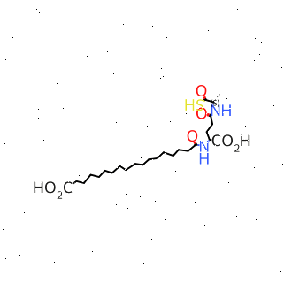 C[C@H](NC(=O)CCC(NC(=O)CCCCCCCCCCCCCCCCC(=O)O)C(=O)O)C(=O)S